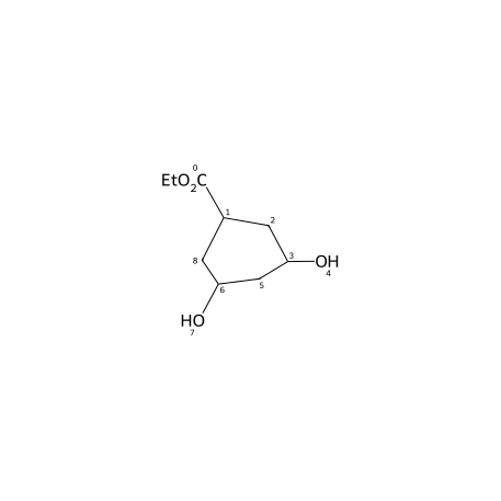 CCOC(=O)C1CC(O)CC(O)C1